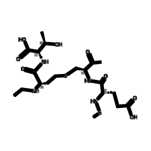 CCN[C@@H](CCSC[C@H](NC(=O)[C@H](CCC(=O)O)NSC)C(C)=O)C(=O)N[C@H](C(=O)O)[C@@H](C)O